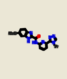 COc1ccc2nc(C(=O)Nc3cccc(-c4nncn4C(C)C)n3)[nH]c2c1